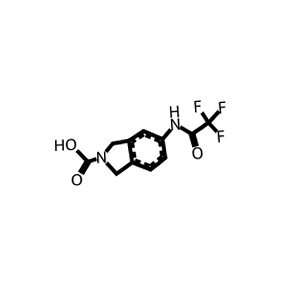 O=C(O)N1Cc2ccc(NC(=O)C(F)(F)F)cc2C1